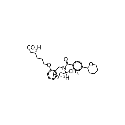 [2H]C(C)(C)N(Cc1ccccc1OCCCCCC(=O)O)C(=O)c1ccc(C2CCCCO2)cc1